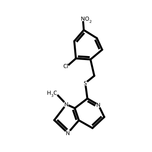 Cn1cnc2ccnc(SCc3ccc([N+](=O)[O-])cc3Cl)c21